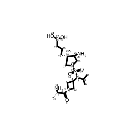 CC(C)N(C1CN(C(=O)[C@H](C)N)C1)S(=O)(=O)N1C[C@H](CCCB(O)O)[C@@](C)(N)C1